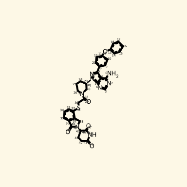 Nc1ncnc2c1c(-c1ccc(Oc3ccccc3)cc1)nn2[C@@H]1CCCN(C(=O)CSc2cccc3c2CN(C2CCC(=O)NC2=O)C3=O)C1